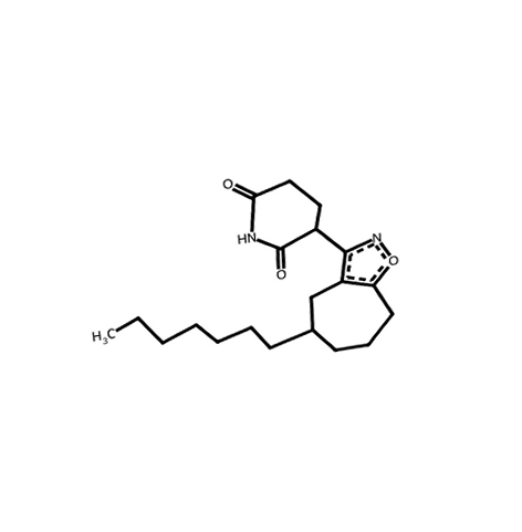 CCCCCCCC1CCCc2onc(C3CCC(=O)NC3=O)c2C1